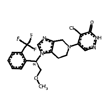 COC[C@@H](c1ccccc1C(F)(F)F)n1cnc2c1CCN(c1cn[nH]c(=O)c1Cl)C2